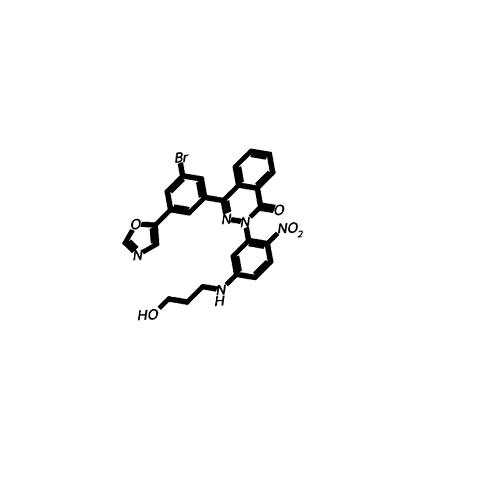 O=c1c2ccccc2c(-c2cc(Br)cc(-c3cnco3)c2)nn1-c1cc(NCCCO)ccc1[N+](=O)[O-]